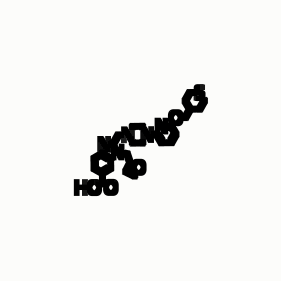 O=C(O)c1ccc2nc(CN3CCN(c4cccc(OCC5CCSCC5)n4)CC3)n(CC3CCO3)c2c1